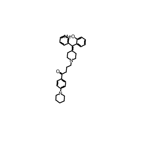 COc1ccccc1C(=C1CCN(CCCC(=O)c2ccc(N3CCCCC3)cc2)CC1)c1ccccc1